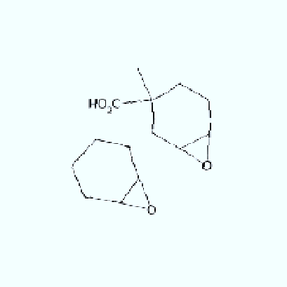 C1CCC2OC2C1.CC1(C(=O)O)CCC2OC2C1